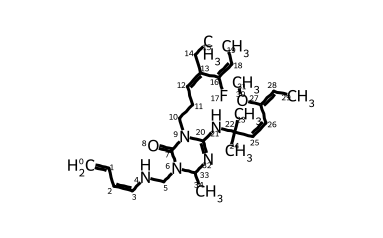 C=C/C=C\NCN1C(=O)N(CC/C=C(CC)\C(F)=C/C)C(NC(C)(C)/C=C\C(=C/C)OC)=NC1C